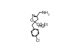 CCOC(=O)C1(Cc2ccc(Cl)cc2)CC(CN)=NO1.Cl